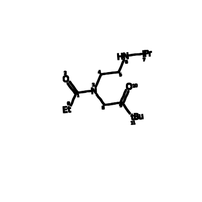 CCC(=O)N(CCNC(C)C)CC(=O)C(C)(C)C